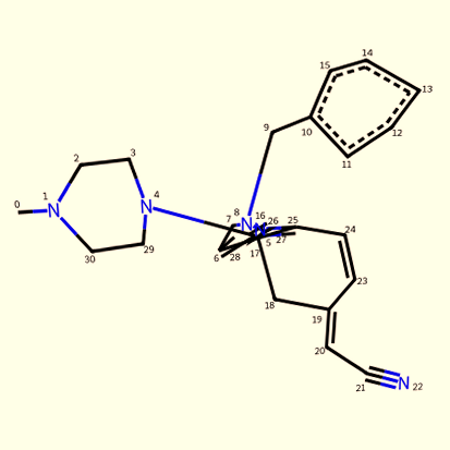 CN1CCN(C2=C3CN(Cc4ccccc4)CC34C/C(=C/C#N)C=CC4=NC=C2)CC1